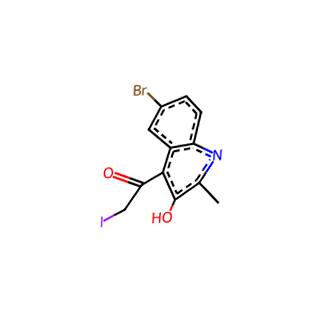 Cc1nc2ccc(Br)cc2c(C(=O)CI)c1O